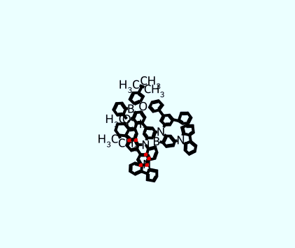 CC(C)(C)c1ccc2c(c1)Oc1cc(-c3cc4c5c(c3)N(c3ccccc3-c3ccccc3)c3cc(-n6c7ccccc7c7ccccc76)ccc3B5c3ccc(-n5c6ccccc6c6ccccc65)cc3N4c3cc(-c4ccccc4)cc(-c4ccccc4)c3)c(-c3cccc4c3C(C)(C)CCC4(C)C)c3c1B2c1ccccc1O3